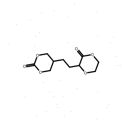 O=C1OCC(CCC2OCCOC2=O)CO1